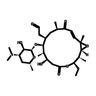 CC[C@H]1OC(=O)C[C@@H](O)[C@H](C)[C@@H](O[C@@H]2O[C@H](C)C[C@H](N(C)C)[C@H]2O)[C@@H](CC=O)C[C@@H](C)C(=O)/C=C/[C@]2(C)O[C@H]2[C@@H]1C